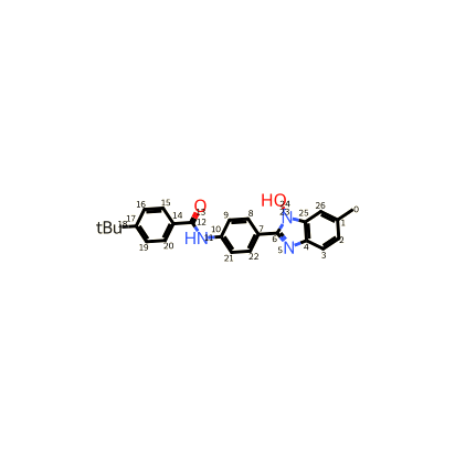 Cc1ccc2nc(-c3ccc(NC(=O)c4ccc(C(C)(C)C)cc4)cc3)n(O)c2c1